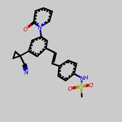 CS(=O)(=O)Nc1ccc(C=Cc2cc(-n3ccccc3=O)cc(C3(C#N)CC3)c2)cc1